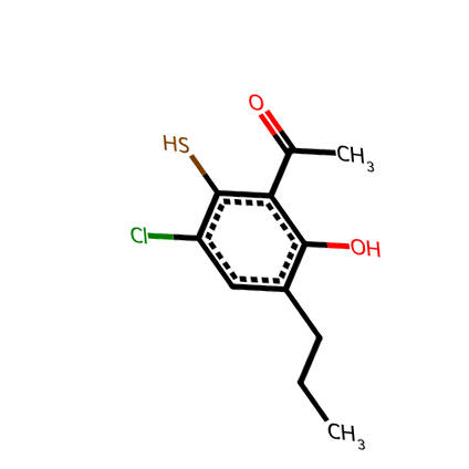 CCCc1cc(Cl)c(S)c(C(C)=O)c1O